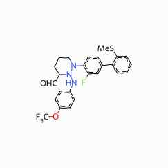 CSc1ccccc1-c1ccc(N2CCCC(C=O)N2Nc2ccc(OC(F)(F)F)cc2)c(F)c1